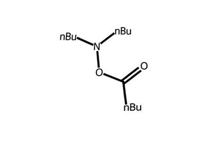 CCCCC(=O)ON(CCCC)CCCC